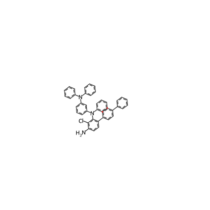 Nc1ccc(-c2ccc(-c3ccccc3)cc2)c(N(c2ccccc2)c2cccc(N(c3ccccc3)c3ccccc3)c2)c1Cl